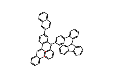 c1ccc(N(c2ccc(-c3ccccc3-n3c4ccccc4c4ccccc43)cc2)c2cc(-c3ccc4ccccc4c3)ccc2-c2ccc3ccccc3c2)cc1